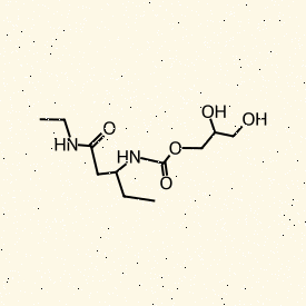 CCNC(=O)CC(CC)NC(=O)OCC(O)CO